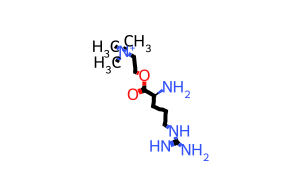 C[N+](C)(C)CCOC(=O)[C@@H](N)CCCNC(=N)N